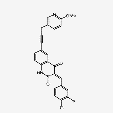 COc1ccc(CC#Cc2ccc3c(c2)C(=O)/C(=C/c2ccc(Cl)c(F)c2)[S+]([O-])N3)cn1